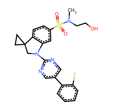 CN(CCO)S(=O)(=O)c1ccc2c(c1)N(c1ncc(-c3ccccc3F)cn1)CC21CC1